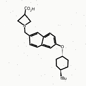 CC(C)(C)[C@H]1CC[C@H](Oc2ccc3cc(CN4CC(C(=O)O)C4)ccc3c2)CC1